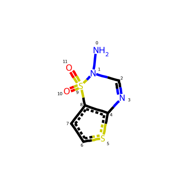 NN1C=Nc2sccc2S1(=O)=O